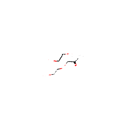 CC(=O)COCCO.OCCO